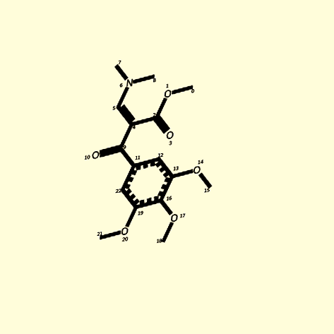 COC(=O)/C(=C\N(C)C)C(=O)c1cc(OC)c(OC)c(OC)c1